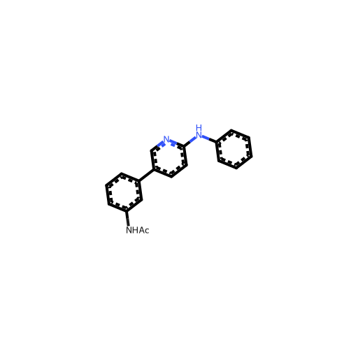 CC(=O)Nc1cccc(-c2ccc(Nc3ccccc3)nc2)c1